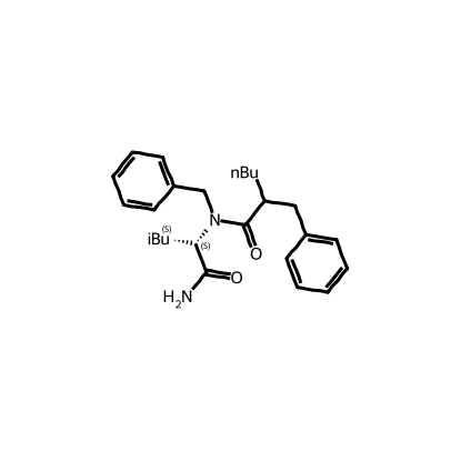 CCCCC(Cc1ccccc1)C(=O)N(Cc1ccccc1)[C@H](C(N)=O)[C@@H](C)CC